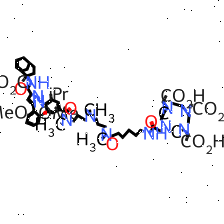 COc1cccc(OC)c1-c1cc(C(=O)NC2(C(=O)O)CCC3CC=C=C2C3)nn1-c1ccc(C(=O)N(C)CCCN(C)CCCN(C)C(=O)CCCCCNC(=O)CN2CCN(CC(=O)O)CCN(CC(=O)O)CCN(CC(=O)O)CC2)cc1C(C)C